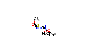 CCOC(=O)c1cnc(N2CC(NC(=O)OC(C)(C)C)C2)s1